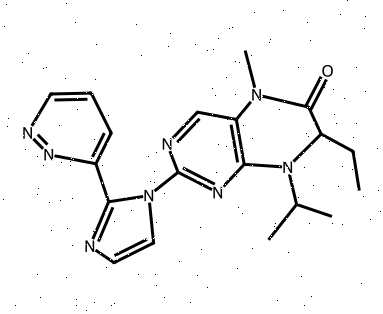 CCC1C(=O)N(C)c2cnc(-n3ccnc3-c3cccnn3)nc2N1C(C)C